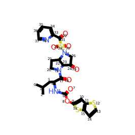 CC(C)CC(NC(=O)Oc1cc2sccc2s1)C(=O)N1CCC2C1C(=O)CN2S(=O)(=O)C(=O)c1ccccn1